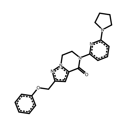 O=C1c2cc(COc3ccccc3)nn2CCN1c1cccc(N2CCCC2)n1